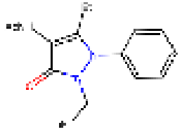 CCc1c(NC(C)=O)c(=O)n(CC(C)C)n1-c1ccccc1